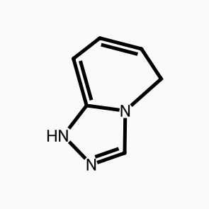 C1=CCN2C=NNC2=C1